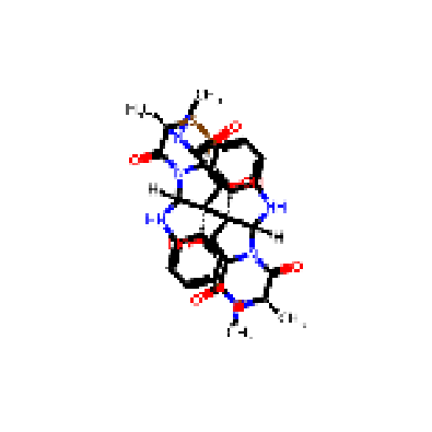 CN1C(=O)[C@]23SS[C@@]1(C)C(=O)N2[C@H]1Nc2ccccc2[C@@]1([C@@]12c4ccccc4N[C@@H]1N1C(=O)[C@]4(C)SS[C@]1(C(=O)N4C)[C@H]2O)[C@@H]3O